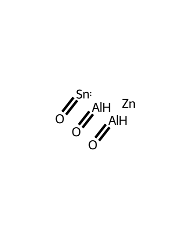 [O]=[AlH].[O]=[AlH].[O]=[Sn].[Zn]